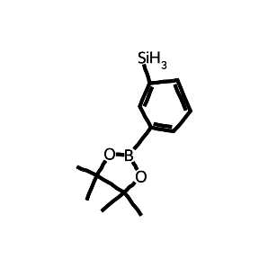 CC1(C)OB(c2cccc([SiH3])c2)OC1(C)C